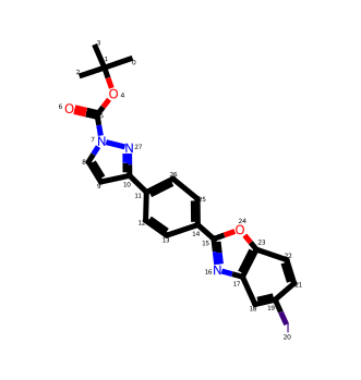 CC(C)(C)OC(=O)n1ccc(-c2ccc(-c3nc4cc(I)ccc4o3)cc2)n1